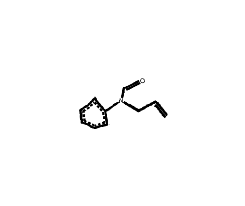 C=CCN(C=O)c1[c]cccc1